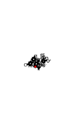 COC(=O)c1cc([N+](=O)[O-])c(N2C[C@H]3[C@@H](C2=O)[C@H](c2cccc(Cl)c2F)[C@@]2(Cc4ccc(Cl)cc4NC2=O)N3CC2CC2)cc1OC(F)(F)F